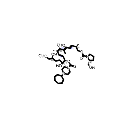 C/C(=C\C=C\[C@@H](C)COC(=O)N1CCC[C@@H]1CO)[C@@H](C=O)[C@@H](C)/C=C/[C@H](OC(=O)N1CCN(C2CCCCCC2)CC1)[C@@](C)(O)CC[C@H](O)CC=O